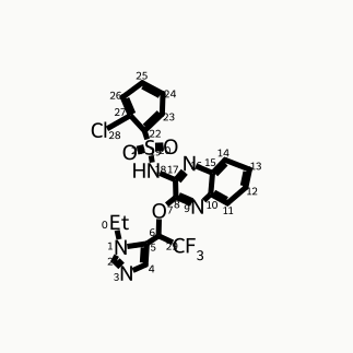 CCn1cncc1C(Oc1nc2ccccc2nc1NS(=O)(=O)c1ccccc1Cl)C(F)(F)F